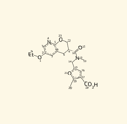 CCOc1cnc2c(c1)CC(C(=O)N(C)Cc1cc(C(=O)O)c(C)o1)CO2